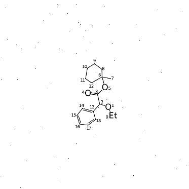 CCOC(C(=O)OC1(C)CCCCC1)c1ccccc1